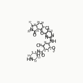 COc1cc(C(=O)NC2CCNCC2)c(Cl)cc1Nc1ncc(Cl)c(Oc2cccc3c2C(=O)N(C)C3C)n1